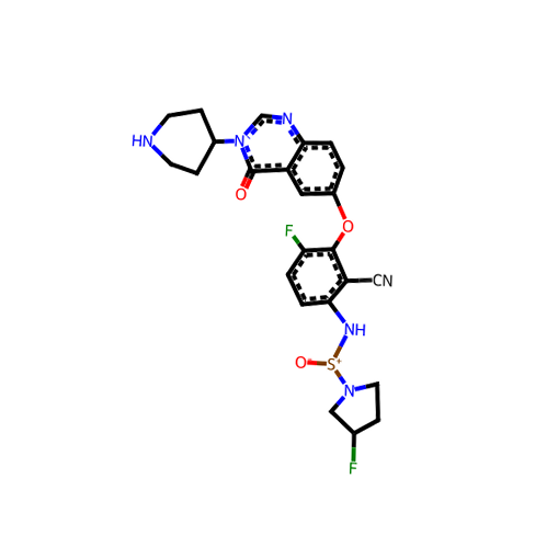 N#Cc1c(N[S+]([O-])N2CCC(F)C2)ccc(F)c1Oc1ccc2ncn(C3CCNCC3)c(=O)c2c1